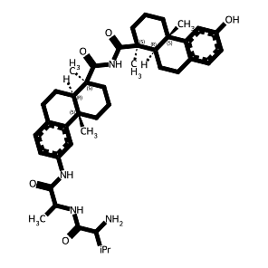 CC(NC(=O)C(N)C(C)C)C(=O)Nc1ccc2c(c1)[C@@]1(C)CCC[C@](C)(C(=O)NC(=O)[C@@]3(C)CCC[C@]4(C)c5cc(O)ccc5CC[C@@H]34)[C@@H]1CC2